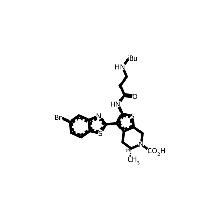 CCC(C)NCCC(=O)Nc1sc2c(c1-c1nc3cc(Br)ccc3s1)C[C@@H](C)N(C(=O)O)C2